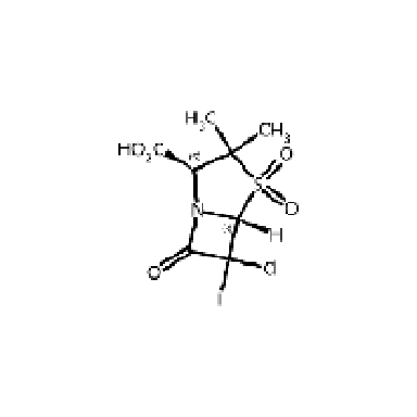 CC1(C)[C@H](C(=O)O)N2C(=O)C(Cl)(I)[C@H]2S1(=O)=O